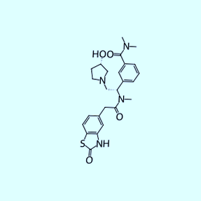 CN(C)C(=O)c1cccc([C@@H](CN2CC[C@H](O)C2)N(C)C(=O)Cc2ccc3sc(=O)[nH]c3c2)c1